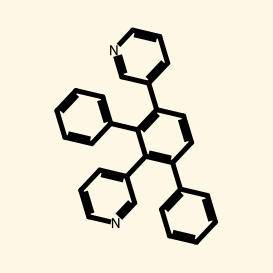 c1ccc(-c2ccc(-c3cccnc3)c(-c3ccccc3)c2-c2cccnc2)cc1